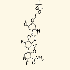 COc1cc2c(Oc3c(F)cc(-c4cnc(F)c(C(N)=O)c4OC4CC4)cc3F)ccnc2cc1OCCO[Si](C)(C)C(C)(C)C